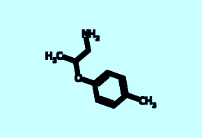 Cc1ccc(OC(C)CN)cc1